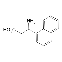 NC(CC(=O)O)c1cccc2ccccc12